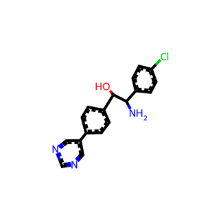 NC(c1ccc(Cl)cc1)C(O)c1ccc(-c2cncnc2)cc1